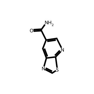 NC(=O)c1cnc2scnc2c1